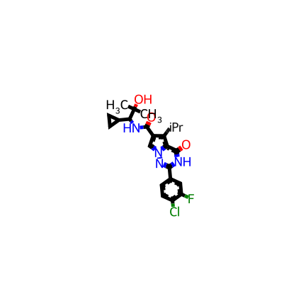 CC(C)c1c(C(=O)NC(C2CC2)C(C)(C)O)cn2nc(-c3ccc(Cl)c(F)c3)[nH]c(=O)c12